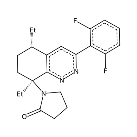 CC[C@H]1CC[C@](CC)(N2CCCC2=O)c2nnc(-c3c(F)cccc3F)cc21